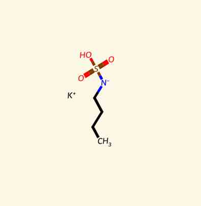 CCCC[N-]S(=O)(=O)O.[K+]